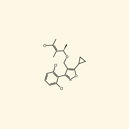 C/C(Cl)=C(/C)[C@@H](C)OCc1c(-c2c(Cl)cccc2Cl)noc1C1CC1